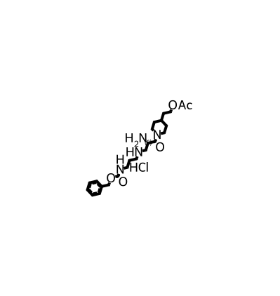 CC(=O)OCCC1CCN(C(=O)[C@@H](N)CNCCCNC(=O)OCc2ccccc2)CC1.Cl